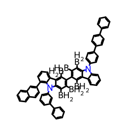 Bc1c(-c2c(B)c(B)c3c(c2B)c2cccc(-c4ccc5ccccc5c4)c2n3-c2cccc(-c3ccccc3)c2)c(B)c2c3ccccc3n(-c3ccc(-c4ccc(-c5ccccc5)cc4)cc3)c2c1B